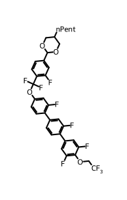 CCCCCC1COC(c2ccc(C(F)(F)Oc3ccc(-c4ccc(-c5cc(F)c(OCC(F)(F)F)c(F)c5)c(F)c4)c(F)c3)c(F)c2)OC1